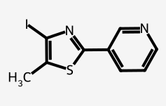 Cc1sc(-c2cccnc2)nc1I